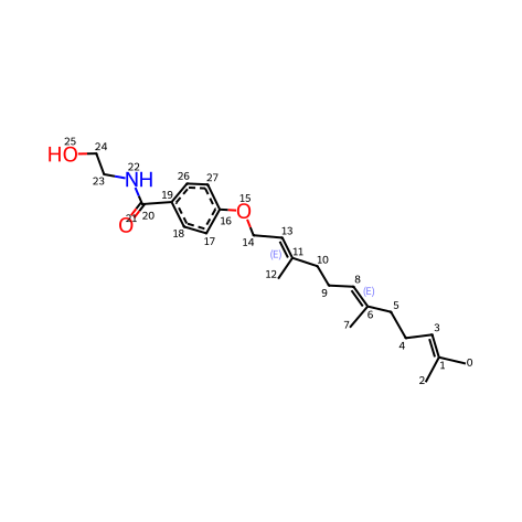 CC(C)=CCC/C(C)=C/CC/C(C)=C/COc1ccc(C(=O)NCCO)cc1